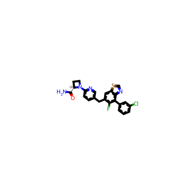 NC(=O)[C@@H]1CCN1c1ccc(Cc2cc3scnc3c(-c3cccc(Cl)c3)c2F)cn1